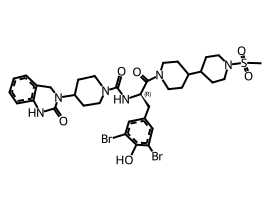 CS(=O)(=O)N1CCC(C2CCN(C(=O)[C@@H](Cc3cc(Br)c(O)c(Br)c3)NC(=O)N3CCC(N4Cc5ccccc5NC4=O)CC3)CC2)CC1